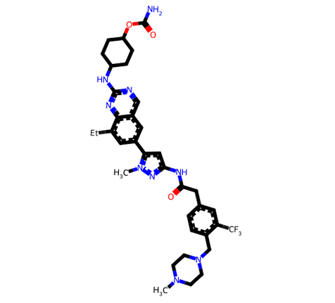 CCc1cc(-c2cc(NC(=O)Cc3ccc(CN4CCN(C)CC4)c(C(F)(F)F)c3)nn2C)cc2cnc(NC3CCC(OC(N)=O)CC3)nc12